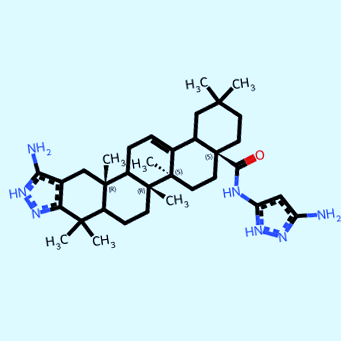 CC1(C)CC[C@]2(C(=O)Nc3cc(N)n[nH]3)CC[C@]3(C)C(=CCC4[C@@]5(C)Cc6c(n[nH]c6N)C(C)(C)C5CC[C@]43C)C2C1